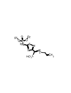 C=CCON=C(C(=O)O)c1nsc(NP(=O)(OCC)OCC)n1